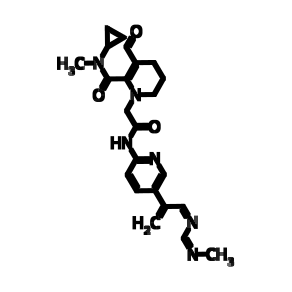 C=C(/C=N\C=N/C)c1ccc(NC(=O)CN2CCCC(C=O)=C2C(=O)N(C)C2CC2)nc1